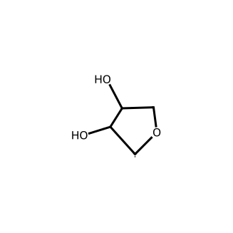 OC1[CH]OCC1O